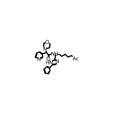 CC(=O)CCCCC[C@H](NC(=O)C(c1cccnc1)N1CCOCC1)c1ncc(-c2ccccc2)[nH]1